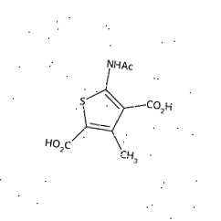 CC(=O)Nc1sc(C(=O)O)c(C)c1C(=O)O